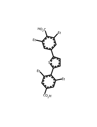 CCc1cc(-c2ccc(-c3c(CC)cc(C(=O)O)cc3CC)s2)cc(CC)c1C(=O)O